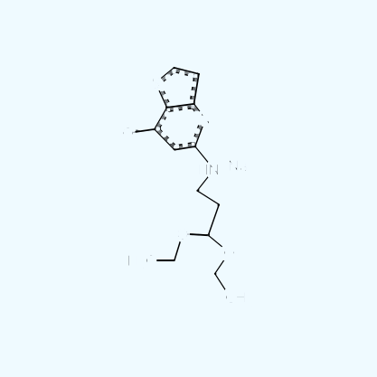 CCOC(CCNc1cc([O-])c2sccc2n1)OCC.[Na+]